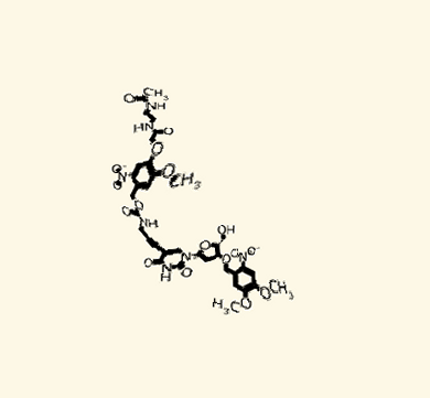 COc1cc(COC2C[C@H](n3cc(C#CCNC(=O)OCc4cc(OC)c(OCC(=O)NCCNC(C)=O)cc4[N+](=O)[O-])c(=O)[nH]c3=O)O[C@@H]2CO)c([N+](=O)[O-])cc1OC